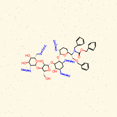 [N-]=[N+]=NC[C@@H]1O[C@H](O[C@H]2[C@@H](O)[C@H](O[C@@H]3[C@@H](O)[C@H](N=[N+]=[N-])C[C@H](N=[N+]=[N-])[C@H]3O[C@H]3O[C@H]([C@@H](COCc4ccccc4)N(Cc4ccccc4)C(=O)OCc4ccccc4)CC[C@H]3N=[N+]=[N-])O[C@@H]2CO)[C@H](N=[N+]=[N-])[C@@H](O)[C@@H]1O